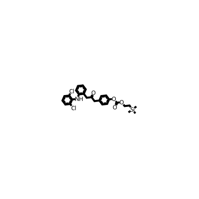 C[Si](C)(C)CCOC(=O)Oc1ccc(CC(=O)Cc2ccccc2Nc2c(Cl)cccc2Cl)cc1